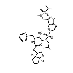 CC(C)CN(C[C@@H](O)[C@H](Cc1ccccc1)NC(=O)OC1CO[C@H]2OCC[C@@H]12)S(=O)(=O)c1ccc2onc(CN(C)S(=O)(=O)C(C)C)c2c1